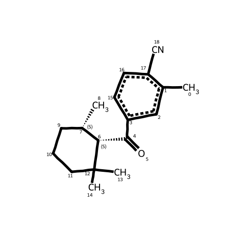 Cc1cc(C(=O)[C@H]2[C@@H](C)CCCC2(C)C)ccc1C#N